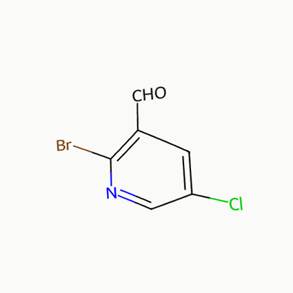 O=Cc1cc(Cl)cnc1Br